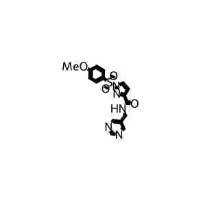 COc1ccc(S(=O)(=O)n2ccc(C(=O)NCc3cncnc3)n2)cc1